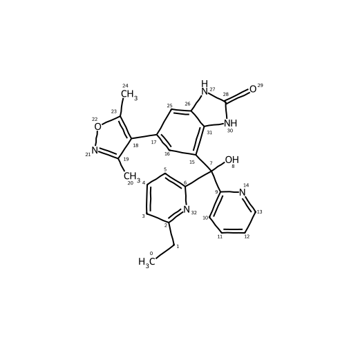 CCc1cccc(C(O)(c2ccccn2)c2cc(-c3c(C)noc3C)cc3[nH]c(=O)[nH]c23)n1